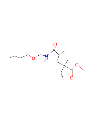 CCCCOCNC(=O)C(C)CC(C)(CC)C(=O)OC